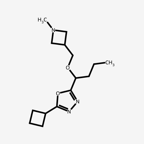 CCCC(OCC1CN(C)C1)c1nnc(C2CCC2)o1